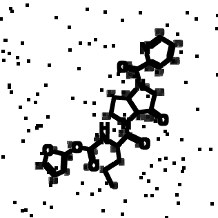 CCCC(NC(=O)Oc1ccco1)C(=O)N1CCC2C1C(=O)CN2C(=O)c1ccccn1